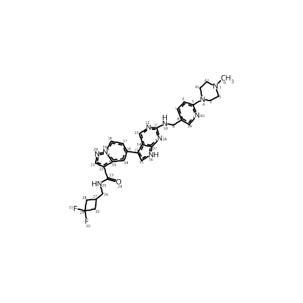 CN1CCN(c2ccc(CNc3ncc4c(-c5ccn6ncc(C(=O)NCC7CC(F)(F)C7)c6c5)c[nH]c4n3)cn2)CC1